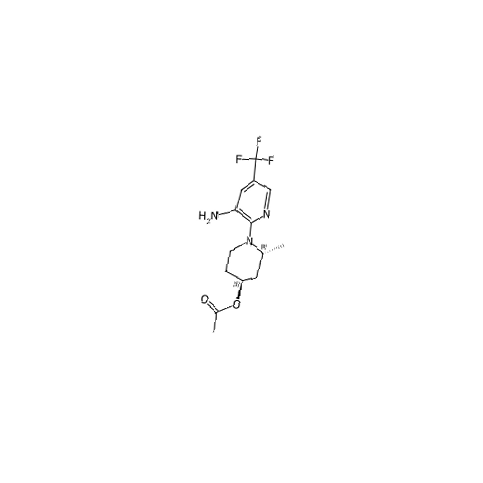 CC(=O)O[C@H]1CCN(c2ncc(C(F)(F)F)cc2N)[C@H](C)C1